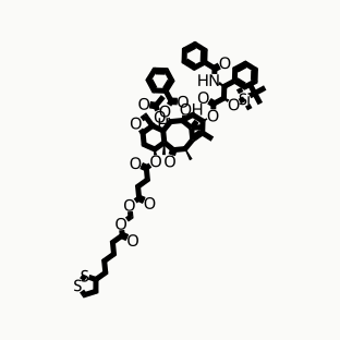 CC(=O)O[C@@]12COC1C[C@H](OC(=O)CCC(=O)OCOC(=O)CCCCC1CCSS1)[C@@]1(C)C(=O)[C@H](C)C3=C(C)[C@@H](OC(=O)[C@H](O[Si](C)(C)C(C)(C)C)[C@@H](NC(=O)c4ccccc4)c4ccccc4)C[C@@](O)([C@@H](OC(=O)c4ccccc4)[C@@H]12)C3(C)C